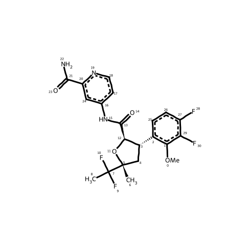 COc1c([C@@H]2C[C@](C)(C(C)(F)F)O[C@H]2C(=O)Nc2ccnc(C(N)=O)c2)ccc(F)c1F